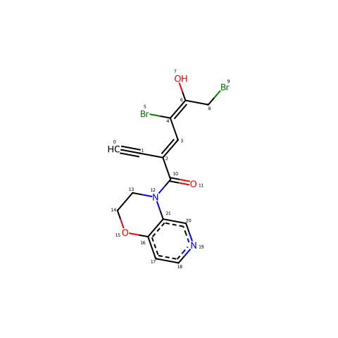 C#C/C(=C\C(Br)=C(\O)CBr)C(=O)N1CCOc2ccncc21